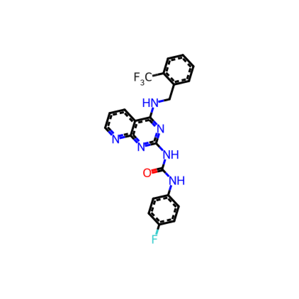 O=C(Nc1ccc(F)cc1)Nc1nc(NCc2ccccc2C(F)(F)F)c2cccnc2n1